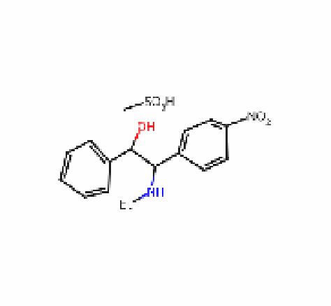 CCNC(c1ccc([N+](=O)[O-])cc1)C(O)c1ccccc1.CS(=O)(=O)O